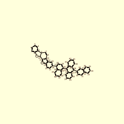 C1=CC2c3ccccc3OC2c2oc3ccc(-c4ccc(-c5c6ccccc6c(-c6ccc7ccccc7c6)c6ccccc56)c5ccccc45)cc3c21